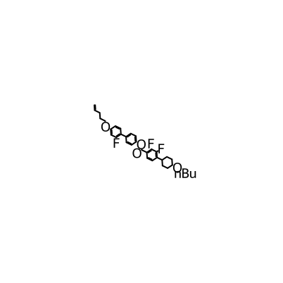 C=CCCCOc1ccc(-c2ccc(OC(=O)c3ccc(C4CCC(OCCCC)CC4)c(F)c3F)cc2)c(F)c1